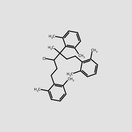 Cc1cccc(C)c1CC[C](Cl)C(C)(CCc1c(C)cccc1C)c1c(C)cccc1C